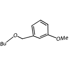 CCCCOCc1cccc(OC)c1